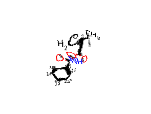 C=C(CC)C(=O)ONC(=O)c1ccccc1